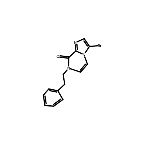 O=c1c2ncc(Br)n2ccn1CCc1ccccc1